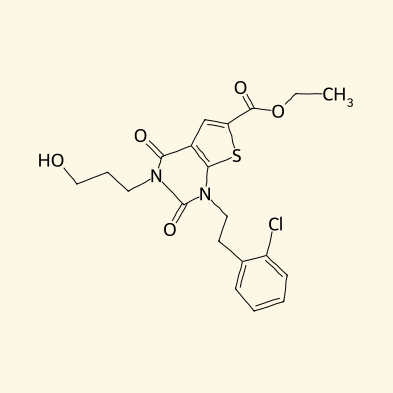 CCOC(=O)c1cc2c(=O)n(CCCO)c(=O)n(CCc3ccccc3Cl)c2s1